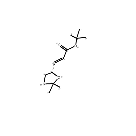 CC(C)(C)OC(=O)/C=C/[C@H]1COC(C)(C)O1